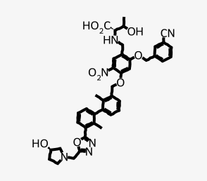 Cc1c(COc2cc(OCc3cccc(C#N)c3)c(CN[C@H](C(=O)O)C(C)O)cc2[N+](=O)[O-])cccc1-c1cccc(-c2nnc(CN3CC[C@@H](O)C3)o2)c1C